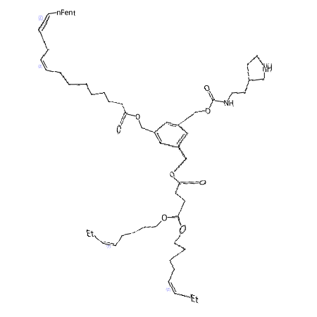 CC/C=C\CCCCOC(CCC(=O)OCc1cc(COC(=O)CCCCCCC/C=C\C/C=C\CCCCC)cc(COC(=O)NCCC2CCNC2)c1)OCCCC/C=C\CC